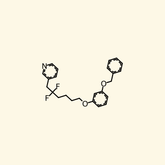 FC(F)(CCCCOc1cccc(OCc2ccccc2)c1)Cc1cccnc1